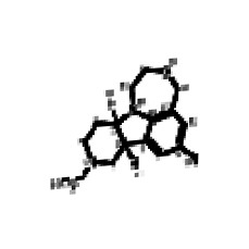 O=C(O)N1CC[C@H]2[C@@H](C1)c1cc(I)cc3c1N2CCSC3